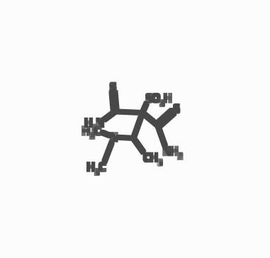 CC(N(C)C)C(C(N)=S)(C(N)=S)S(=O)(=O)O